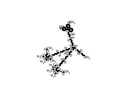 COc1ccc(C(OCC[C@H](O)CNC(=O)CCCC(=O)NC(COCCC(=O)NCCCN)(COCCC(=O)NCCCNC(=O)CCCCO[C@@H]2O[C@H](COC(C)=O)[C@H](OC(C)=O)[C@H](OC(C)=O)[C@H]2NC(C)=O)COCCC(=O)NCCCNC(=O)CCCCO[C@@H]2O[C@H](COC(C)=O)[C@H](OC(C)=O)[C@H](OC(C)=O)[C@H]2NC(C)=O)(c2ccccc2)c2ccc(OC)cc2)cc1